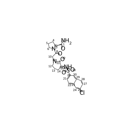 NC(=O)[C@@H]1CCCN1C(=O)CN1CCC[C@H](NS(=O)(=O)c2ccc3cc(Cl)ccc3c2)C1=O